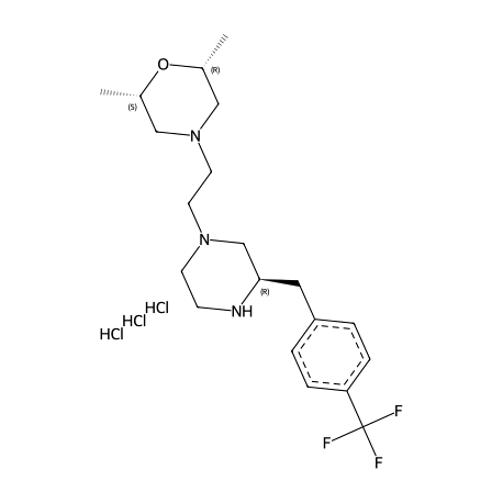 C[C@@H]1CN(CCN2CCN[C@H](Cc3ccc(C(F)(F)F)cc3)C2)C[C@H](C)O1.Cl.Cl.Cl